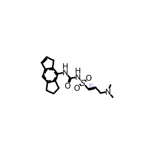 CN(C)C/C=C/S(=O)(=O)NC(=O)Nc1c2c(cc3c1CCC3)C=CC2